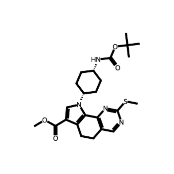 COC(=O)c1cn([C@H]2CC[C@@H](NC(=O)OC(C)(C)C)CC2)c2c1CCc1cnc(SC)nc1-2